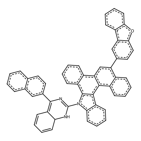 C1=CC2=C(c3ccc4ccccc4c3)N=C(n3c4ccccc4c4c5c6ccccc6c(-c6ccc7oc8ccccc8c7c6)cc5c5ccccc5c43)NC2C=C1